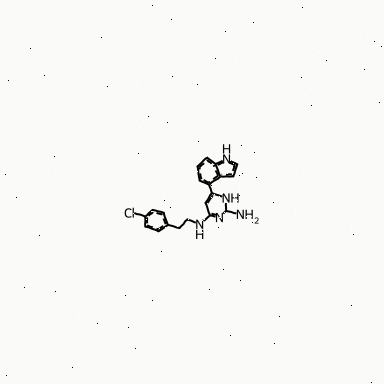 NC1N=C(NCCc2ccc(Cl)cc2)C=C(c2cccc3[nH]ccc23)N1